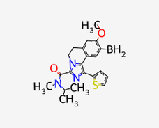 Bc1cc2c(cc1OC)CCn1c(C(=O)N(C)C(C)C)nc(-c3cccs3)c1-2